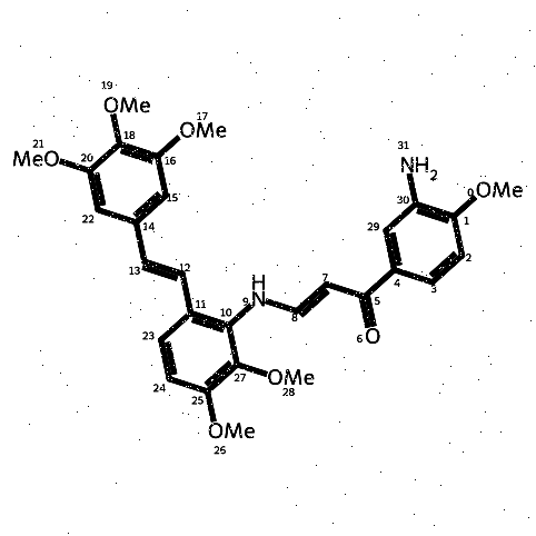 COc1ccc(C(=O)C=CNc2c(C=Cc3cc(OC)c(OC)c(OC)c3)ccc(OC)c2OC)cc1N